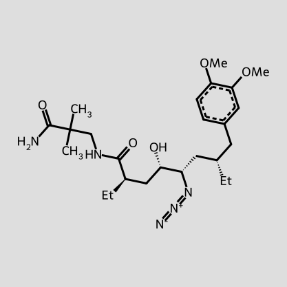 CC[C@@H](Cc1ccc(OC)c(OC)c1)C[C@H](N=[N+]=[N-])[C@@H](O)C[C@@H](CC)C(=O)NCC(C)(C)C(N)=O